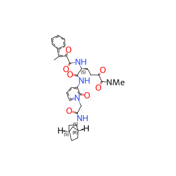 CNC(=O)C(=O)CC[C@H](NC(=O)c1oc2ccccc2c1C)C(=O)Nc1cccn(CC(=O)N[C@H]2C[C@H]3CC[C@@H]2C3)c1=O